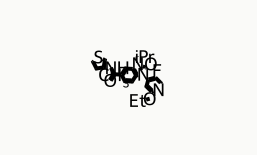 CCOc1cc(-n2c(=O)n(C(C)C)c3cc(C(=O)NC4(C)CCSC4)ccc32)c(F)cn1